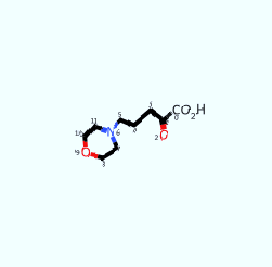 O=C(O)C(=O)CCCN1CCOCC1